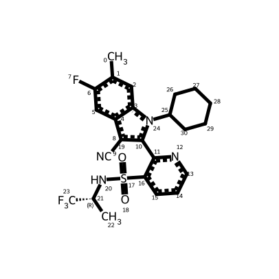 Cc1cc2c(cc1F)c(C#N)c(-c1ncccc1S(=O)(=O)N[C@H](C)C(F)(F)F)n2C1CCCCC1